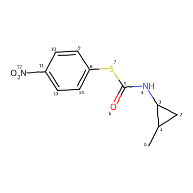 CC1CC1NC(=O)Sc1ccc([N+](=O)[O-])cc1